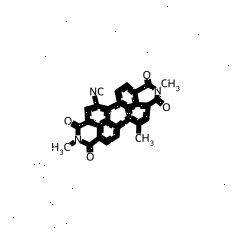 [C-]#[N+]c1cc2c3c(ccc4c5c(C)cc6c7c(ccc(c1c34)c75)C(=O)N(C)C6=O)C(=O)N(C)C2=O